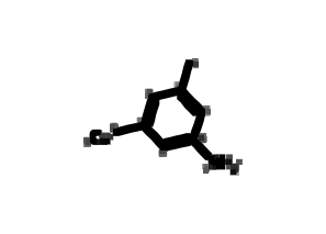 Cc1cc(C)cc([SiH2])c1.[Cu]